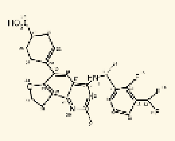 Cc1nc(N[C@H](C)c2cccc(C(F)F)c2F)c2cc(C3=CCC(C(=O)O)CC3)c3c(c2n1)CCO3